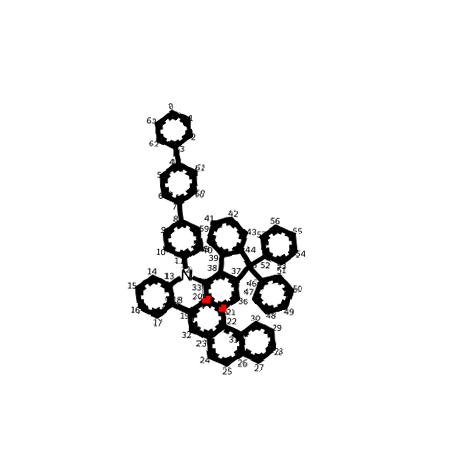 c1ccc(-c2ccc(-c3ccc(N(c4ccccc4-c4ccc5c(ccc6ccccc65)c4)c4cccc5c4-c4ccccc4C5(c4ccccc4)c4ccccc4)cc3)cc2)cc1